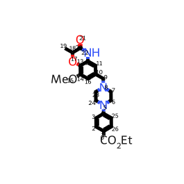 CCOC(=O)c1ccc(N2CCN(Cc3cc4c(c(OC)c3)OC(C)C(=O)N4)CC2)cc1